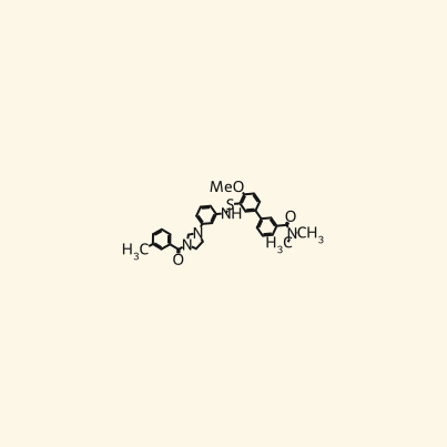 COc1ccc(-c2cccc(C(=O)N(C)C)c2)cc1SNc1cccc(N2CCN(C(=O)c3cccc(C)c3)C2)c1